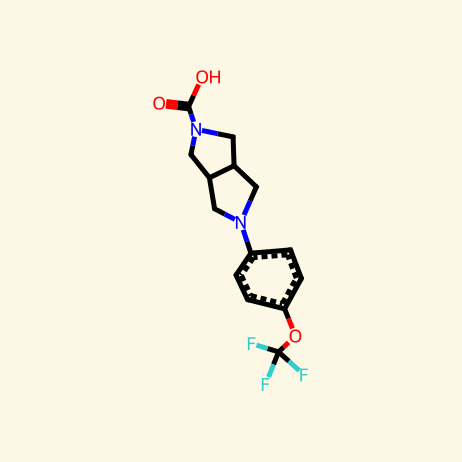 O=C(O)N1CC2CN(c3ccc(OC(F)(F)F)cc3)CC2C1